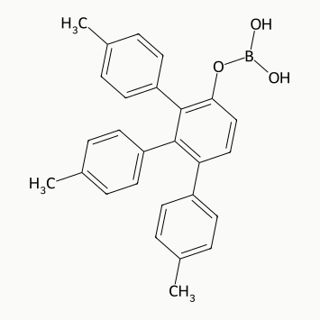 Cc1ccc(-c2ccc(OB(O)O)c(-c3ccc(C)cc3)c2-c2ccc(C)cc2)cc1